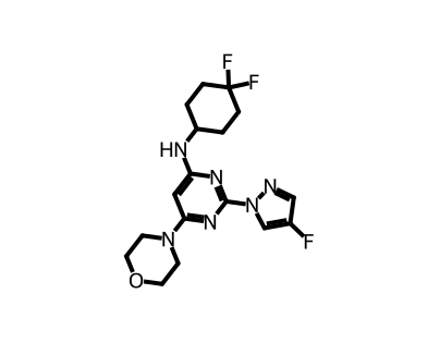 Fc1cnn(-c2nc(NC3CCC(F)(F)CC3)cc(N3CCOCC3)n2)c1